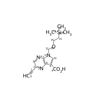 C#Cc1cnc2c(n1)c(C(=O)O)cn2COCC[Si](C)(C)C